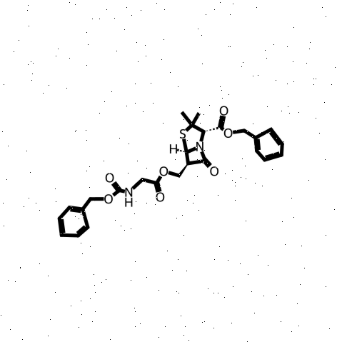 CC1(C)S[C@@H]2[C@H](COC(=O)CNC(=O)OCc3ccccc3)C(=O)N2[C@H]1C(=O)OCc1ccccc1